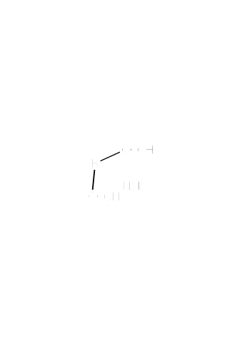 O=C(O)[B]C(=O)O.[HH]